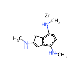 CNC1=Cc2c(NC)ccc(NC)c2[CH]1.[Zr]